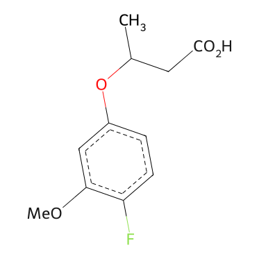 COc1cc(OC(C)CC(=O)O)ccc1F